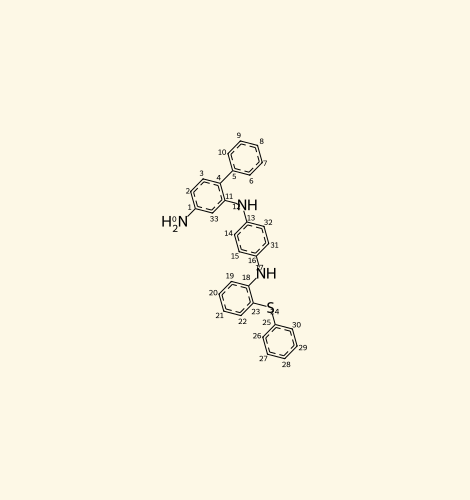 Nc1ccc(-c2ccccc2)c(Nc2ccc(Nc3ccccc3Sc3ccccc3)cc2)c1